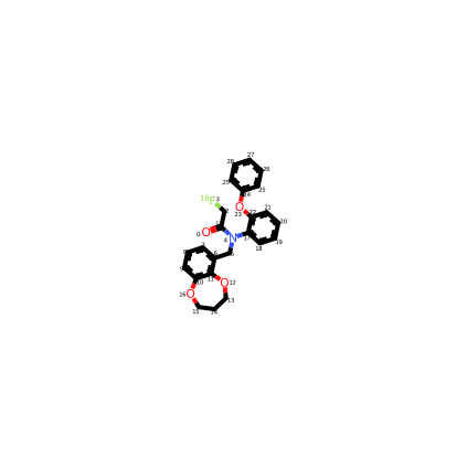 O=C(C[18F])N(Cc1cccc2c1OCCCO2)c1ccccc1Oc1ccccc1